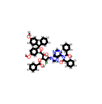 COc1ccc(C(OCC2OC(n3cnc4c(N(C(=O)c5ccccc5)C(=O)c5ccccc5)ncnc43)C(F)C2OC(=O)c2ccccc2)(c2ccccc2)c2ccc(OC)cc2)cc1